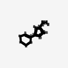 Nc1nc(C2=CCCC[CH]2)cs1